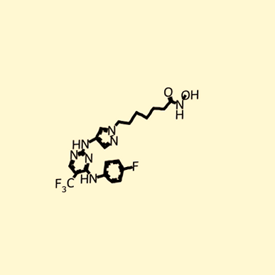 O=C(CCCCCCn1cc(Nc2ncc(C(F)(F)F)c(Nc3ccc(F)cc3)n2)cn1)NO